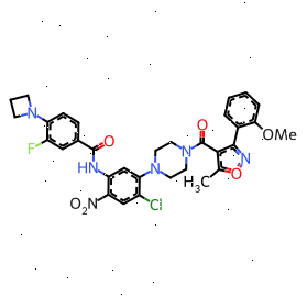 COc1ccccc1-c1noc(C)c1C(=O)N1CCN(c2cc(NC(=O)c3ccc(N4CCC4)c(F)c3)c([N+](=O)[O-])cc2Cl)CC1